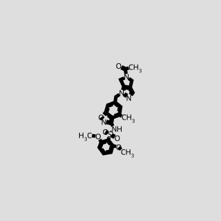 COc1cccc(OC)c1S(=O)(=O)Nc1noc2cc(Cn3ncc4c3CN(C(C)=O)C4)cc(C)c12